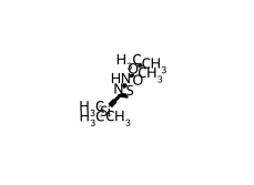 CC(C)(C)OC(=O)Nc1nc(C#C[Si](C)(C)C)cs1